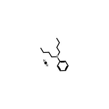 CCCCN(CCCC)c1ccccc1.N#N